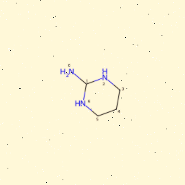 NC1NCCCN1